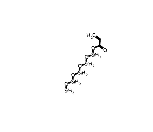 C=CC(=O)O[SiH2]O[SiH2]O[SiH2]O[SiH2]O[SiH3]